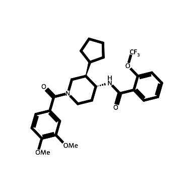 COc1ccc(C(=O)N2CC[C@@H](NC(=O)c3ccccc3OC(F)(F)F)[C@H](C3CCCC3)C2)cc1OC